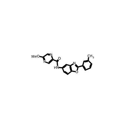 COc1cnc(C(=O)Nc2ccc3oc(-c4cccc(C)c4)nc3c2)cn1